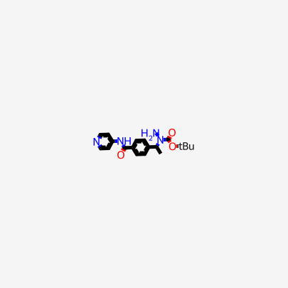 CC(c1ccc(C(=O)Nc2ccncc2)cc1)N(N)C(=O)OC(C)(C)C